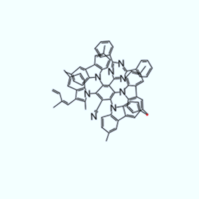 C=C/C(C)=C\c1c(C)n(-c2c(C#N)c(-n3c4ccc(C)cc4c4cc(C)ccc43)c(-n3c4ccc(C)cc4c4cc(C)ccc43)c(-c3nc(-c4ccccc4)nc(-c4ccccc4)n3)c2-n2c3ccc(C)cc3c3cc(C)ccc32)c2ccc(C)cc12